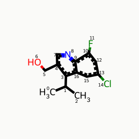 CC(C)c1c(CO)cnc2c(F)cc(Cl)cc12